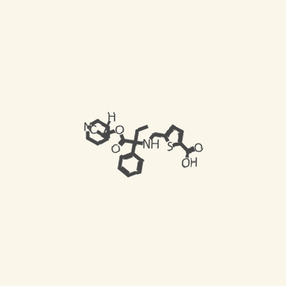 CCC(NCc1ccc(C(=O)O)s1)(C(=O)O[C@H]1CN2CCC1CC2)c1ccccc1